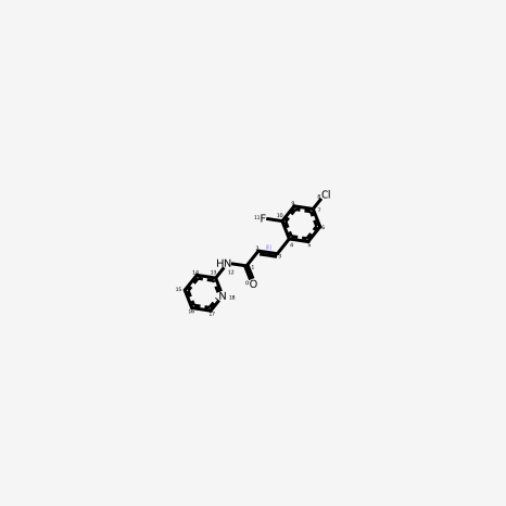 O=C(/C=C/c1ccc(Cl)cc1F)Nc1ccccn1